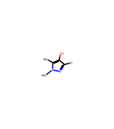 CCCCn1nc(CC)c(O)c1C(C)(C)C